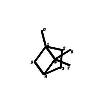 CC12[CH][CH]C(C1)C2(C)C